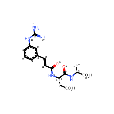 CC(C)[C@H](NC(=O)[C@H](CC(=O)O)NC(=O)C=Cc1cccc(NC(=N)N)c1)C(=O)O